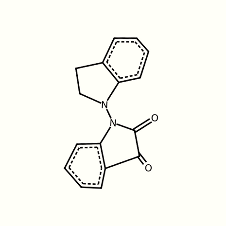 O=C1C(=O)N(N2CCc3ccccc32)c2ccccc21